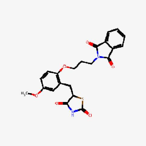 COc1ccc(OCCCN2C(=O)c3ccccc3C2=O)c(CC2SC(=O)NC2=O)c1